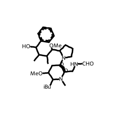 CCC(C)C(C(CC(=O)N1CCCC1C(OC)C(C)C(C)C(O)c1ccccc1)OC)N(C)C(=O)CNC=O